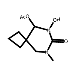 CC(=O)OC1N(O)C(=O)N(C)CC12CCC2